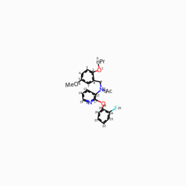 CCCOc1ccc(OC)cc1CN(C(C)=O)c1cccnc1Oc1ccccc1F